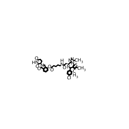 Cc1sc2c(c1C)C(c1ccc(Cl)cc1)=N[C@@H](CC(=O)NCCCCC(=O)Oc1cccc3c1CN(C1CCC(=O)NC1=O)C3=O)c1nnc(C)n1-2